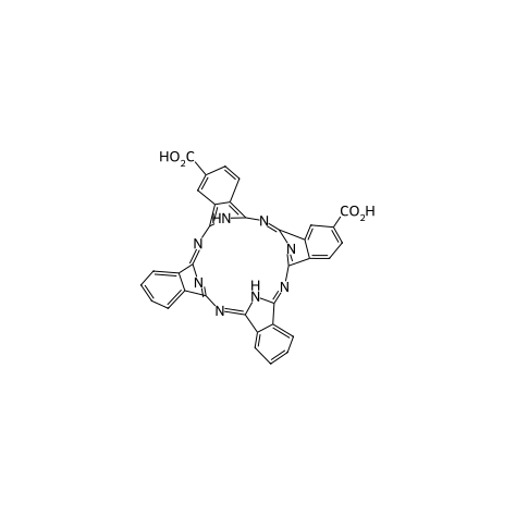 O=C(O)c1ccc2c(c1)-c1nc-2nc2[nH]c(nc3nc(nc4[nH]c(n1)c1ccc(C(=O)O)cc41)-c1ccccc1-3)c1ccccc21